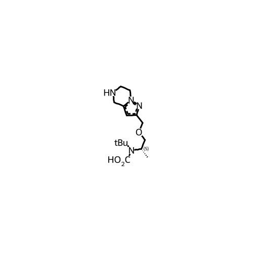 C[C@@H](COCc1cc2n(n1)CCNC2)N(C(=O)O)C(C)(C)C